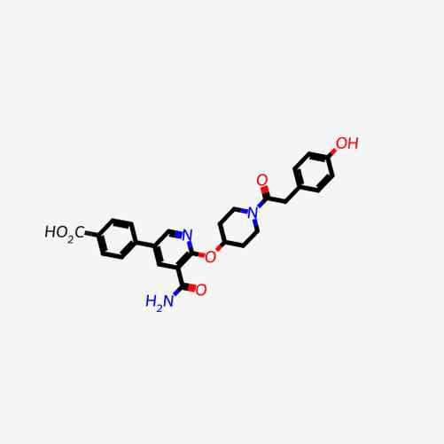 NC(=O)c1cc(-c2ccc(C(=O)O)cc2)cnc1OC1CCN(C(=O)Cc2ccc(O)cc2)CC1